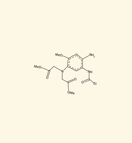 CCC(=O)Nc1cc(N(CC(=O)OC)CC(=O)OC)c(OC)cc1N